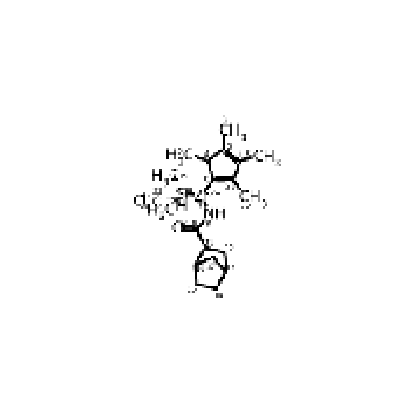 CC1=C(C)C(C)[C]([Zr+2]([NH]C(=O)C2CC3CCC2C3)[SiH](C)C)=C1C.[Cl-].[Cl-]